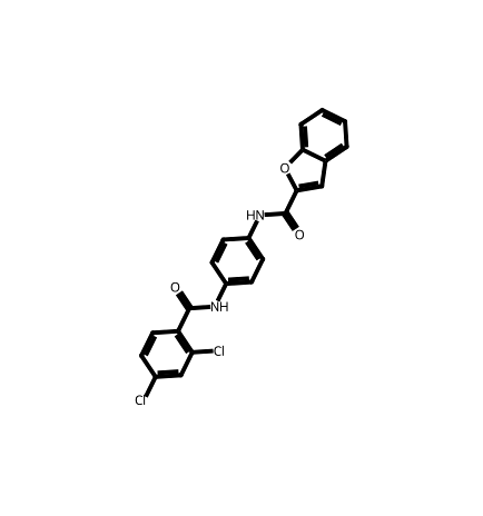 O=C(Nc1ccc(NC(=O)c2ccc(Cl)cc2Cl)cc1)c1cc2ccccc2o1